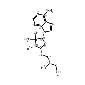 CC1(O)[C@@H](O)[C@@H](OOP(O)CO)O[C@H]1n1cnc2c(N)ncnc21